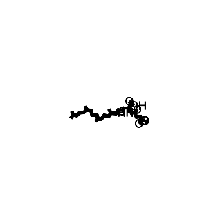 COC(=O)CCC(=O)N[C@@H](CSC/C=C(\C)CCCC(C)CCCC(C)CCCC(C)C)C(=O)O